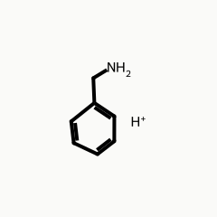 NCc1ccccc1.[H+]